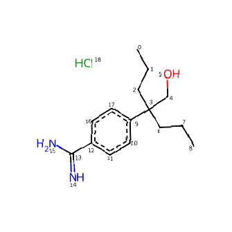 CCCC(CO)(CCC)c1ccc(C(=N)N)cc1.Cl